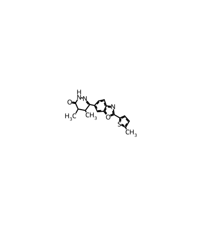 Cc1ccc(-c2nc3ccc(C4=NNC(=O)C(C)C4C)cc3o2)s1